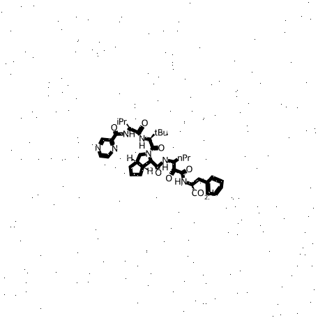 CCCC(NC(=O)C1[C@H]2CCC[C@H]2CN1C(=O)[C@@H](NC(=O)[C@H](NC(=O)c1cnccn1)C(C)C)C(C)(C)C)C(=O)C(=O)N[C@@H](Cc1ccccc1)C(=O)O